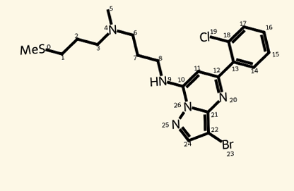 CSCCCN(C)CCCNc1cc(-c2ccccc2Cl)nc2c(Br)cnn12